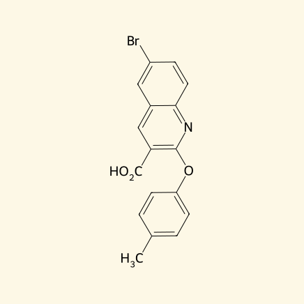 Cc1ccc(Oc2nc3ccc(Br)cc3cc2C(=O)O)cc1